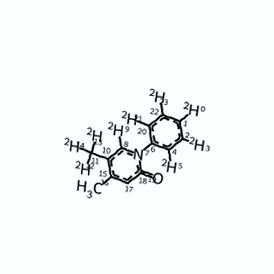 [2H]c1c([2H])c([2H])c(-n2c([2H])c(C([2H])([2H])[2H])c(C)cc2=O)c([2H])c1[2H]